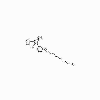 CCCCCCCCCCCCOc1cccc(-c2cn(C)cc(-c3ccccc3)c2=O)c1